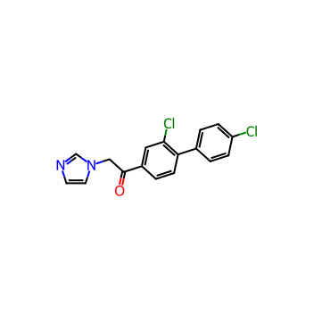 O=C(Cn1ccnc1)c1ccc(-c2ccc(Cl)cc2)c(Cl)c1